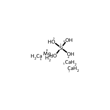 O[Si](O)(O)O.[CaH2].[CaH2].[CaH2].[MgH2]